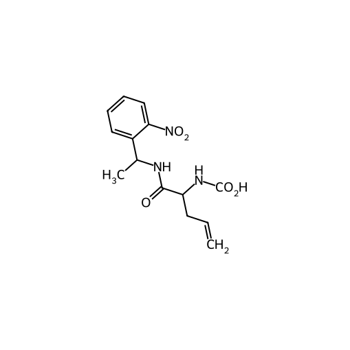 C=CCC(NC(=O)O)C(=O)NC(C)c1ccccc1[N+](=O)[O-]